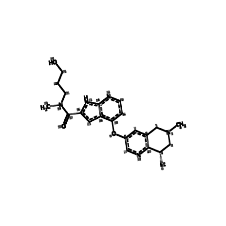 CC[C@H]1CN(C)Cc2cc(Oc3ccnc4[nH]c(C(=O)N(C)CCCO)cc34)cnc21